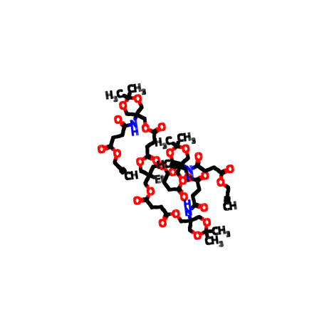 C#CCOC(=O)CCC(=O)NC1(COC(=O)CCC(=O)OCC(CC)(COC(=O)CCC(=O)OCC2(NC(=O)CCC(=O)OCC#C)COC(C)(C)OC2)COC(=O)CCC(=O)OCC2(NC(=O)CCC(=O)OCC#C)COC(C)(C)OC2)COC(C)(C)OC1